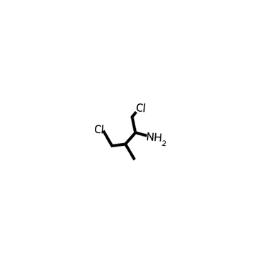 CC(CCl)C(N)CCl